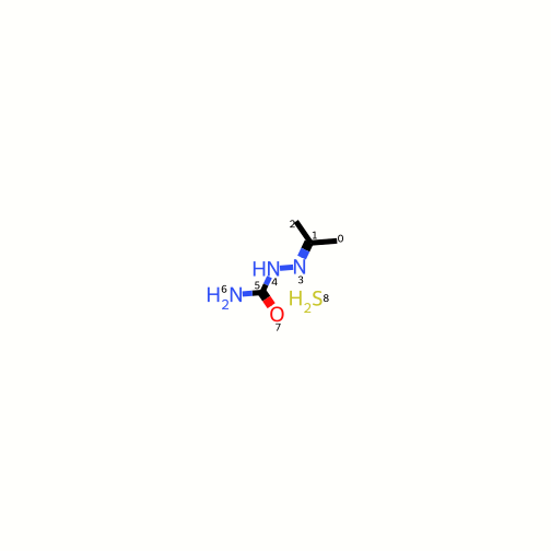 CC(C)=NNC(N)=O.S